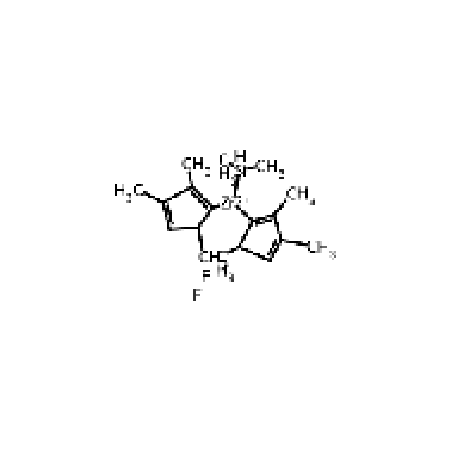 CC1=CC(C)[C]([Zr+2]([C]2=C(C)C(C)=CC2C)[SiH](C)C)=C1C.[F-].[F-]